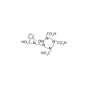 O=C(O)CN1CCN(CC(=O)O)CCN(CC(O)CN(CC(=O)O)Cc2ccccc2)CCN(CC(=O)O)CC1